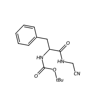 CC(C)(C)OC(=O)NC(Cc1ccccc1)C(=O)NCC#N